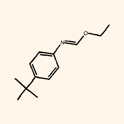 CCOC=Nc1ccc(C(C)(C)C)cc1